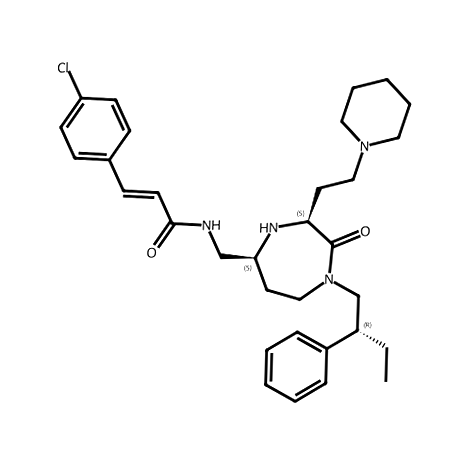 CC[C@@H](CN1CC[C@@H](CNC(=O)C=Cc2ccc(Cl)cc2)N[C@@H](CCN2CCCCC2)C1=O)c1ccccc1